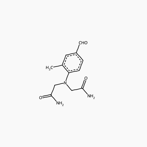 Cc1cc(C=O)ccc1N(CC(N)=O)CC(N)=O